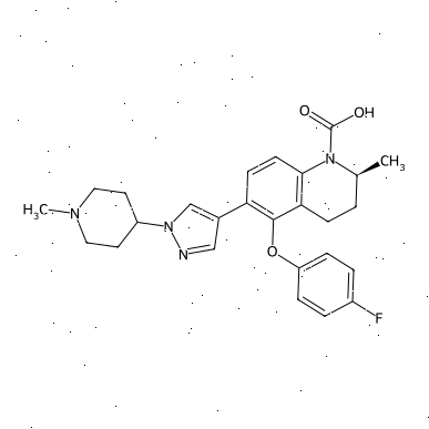 C[C@H]1CCc2c(ccc(-c3cnn(C4CCN(C)CC4)c3)c2Oc2ccc(F)cc2)N1C(=O)O